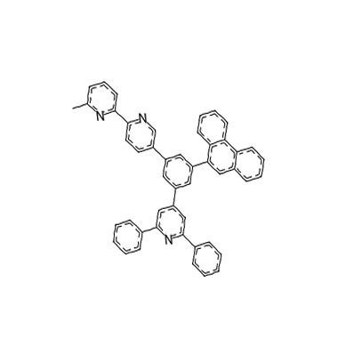 Cc1cccc(-c2ccc(-c3cc(-c4cc(-c5ccccc5)nc(-c5ccccc5)c4)cc(-c4cc5ccccc5c5ccccc45)c3)cn2)n1